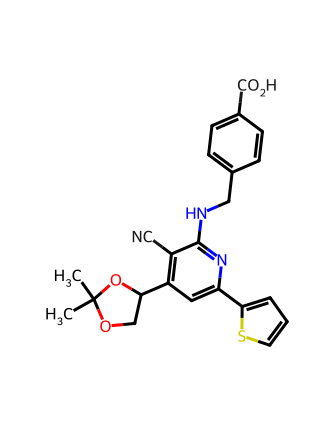 CC1(C)OCC(c2cc(-c3cccs3)nc(NCc3ccc(C(=O)O)cc3)c2C#N)O1